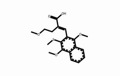 COCC/C(=C\c1c(SC)c(OC)c2ccccc2c1OC)C(=O)O